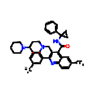 O=C(NC1(c2ccccc2)CC1)c1c(CN2CCC(N3CCCCC3)CC2)c(-c2cccc(C(F)(F)F)c2)nc2ccc(C(F)(F)F)cc12